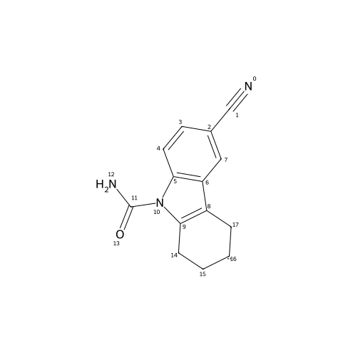 N#Cc1ccc2c(c1)c1c(n2C(N)=O)CC[C]C1